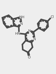 O=C1CCc2c(nc(-c3ccc(Cl)cc3)nc2Nc2n[nH]c3ccccc23)C1